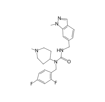 CN1CCC(N(Cc2ccc(F)cc2F)C(=O)NCc2ccc3cnn(C)c3c2)CC1